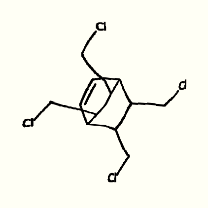 ClCC1C2C=CC(C1CCl)C(CCl)C2CCl